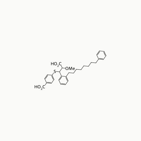 COC(C(=O)O)C(Sc1ccc(C(=O)O)cc1)c1ccccc1CCCCCCCCc1ccccc1